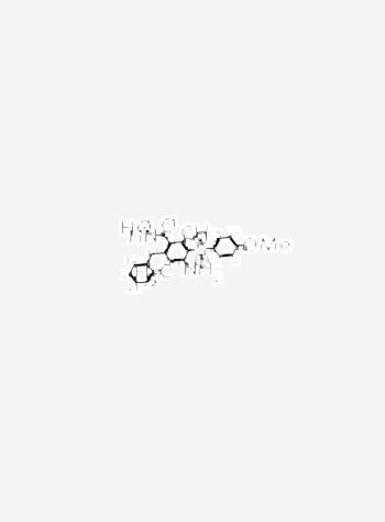 COc1ccc(S(=O)(=O)c2c(C)c(C(=O)NO)c(Cc3ccccc3)c(C)c2N)cc1